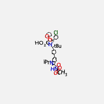 CC(C)n1cc(C(=O)NS(C)(=O)=O)c2ccc(-c3ccc(C(CN(C[C@H](OC4CCCCO4)c4cccc(Cl)c4)C(=O)O)C(C)(C)C)cc3)cc21